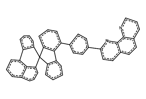 c1ccc2c(c1)-c1c(-c3ccc(-c4ccc5ccc6cccnc6c5n4)cc3)cccc1C21c2ccccc2-c2cccc3cccc1c23